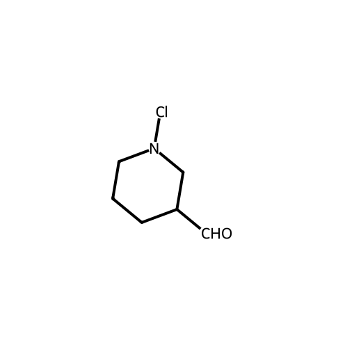 O=CC1CCCN(Cl)C1